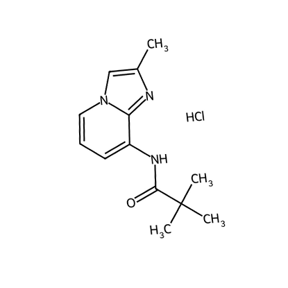 Cc1cn2cccc(NC(=O)C(C)(C)C)c2n1.Cl